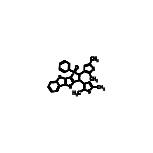 Cc1cc(C2=C(c3cc(C)sc3C)P(=O)(c3ccccc3)c3c2sc2c3sc3ccccc32)c(C)s1